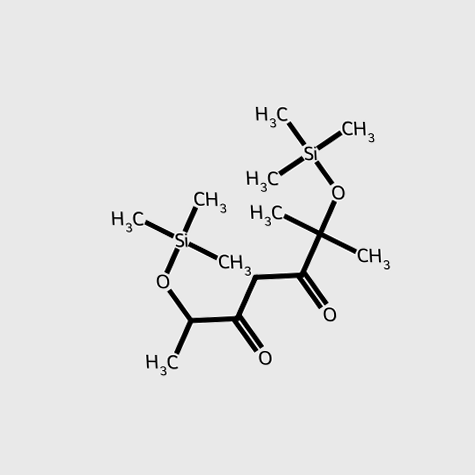 CC(O[Si](C)(C)C)C(=O)CC(=O)C(C)(C)O[Si](C)(C)C